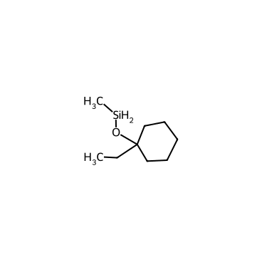 CCC1(O[SiH2]C)CCCCC1